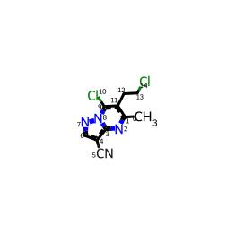 Cc1nc2c(C#N)cnn2c(Cl)c1CCCl